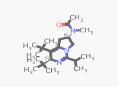 CC(=O)N(C)[C@H]1CC2=C(C(C)(C)C)[C@H](C(C)(C)C)N=C(C(C)C)N2C1